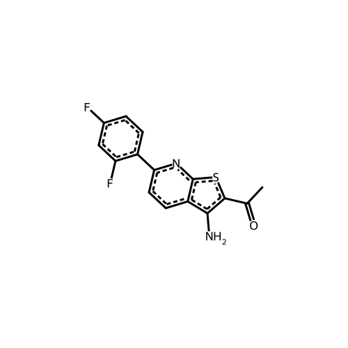 CC(=O)c1sc2nc(-c3ccc(F)cc3F)ccc2c1N